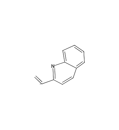 C=[C]c1ccc2ccccc2n1